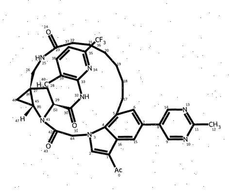 CC(=O)c1cn2c3c(cc(-c4cnc(C)nc4)cc13)CCCCCCC(=O)NC[C@@]13C[C@@H](C(=O)Nc4nc(C(F)(F)F)ccc4C)N(C(=O)C2)[C@@H]1C3